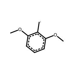 [CH]c1c(OC)cccc1OC